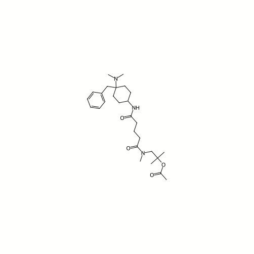 CC(=O)OC(C)(C)CN(C)C(=O)CCCC(=O)NC1CCC(Cc2ccccc2)(N(C)C)CC1